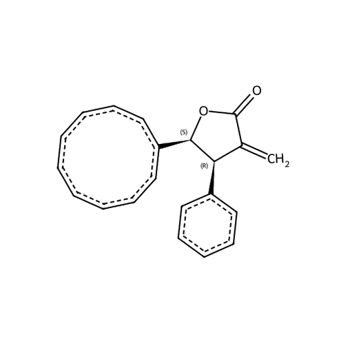 C=C1C(=O)O[C@H](c2ccccccccc2)[C@@H]1c1ccccc1